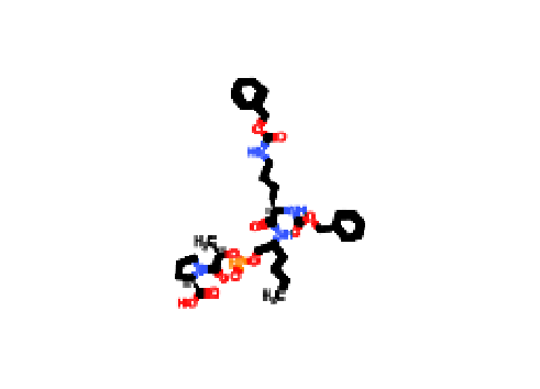 CCCCC(CO[PH](=O)O[C@@H](C)C(=O)N1CCC[C@H]1C(=O)O)NC(=O)[C@H](CCCCNC(=O)OCc1ccccc1)NC(=O)OCc1ccccc1